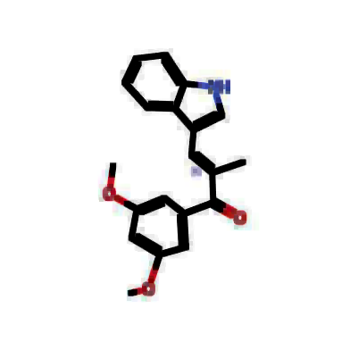 COc1cc(OC)cc(C(=O)/C(C)=C/c2c[nH]c3ccccc23)c1